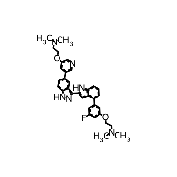 CN(C)CCOc1cncc(-c2ccc3[nH]nc(-c4cc5c(-c6cc(F)cc(OCCN(C)C)c6)cccc5[nH]4)c3c2)c1